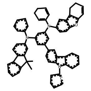 CC1(C)c2ccccc2-c2ccc(N(c3ccccc3)c3cc(-c4ccc5c(c4)c4ccccc4n5-c4ccccc4)cc(N(C4=CCCC=C4)c4ccc5oc6c(c5c4)CCC=C6)c3)cc21